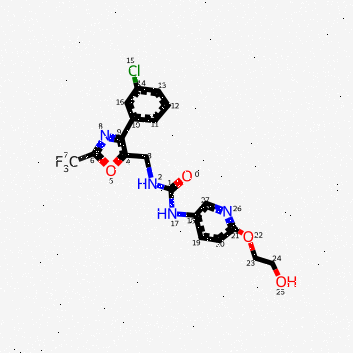 O=C(NCc1oc(C(F)(F)F)nc1-c1cccc(Cl)c1)Nc1ccc(OCCO)nc1